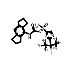 [2H]C([2H])([2H])C(O)(c1ncc(S(N)(=O)=NC(=O)Nc2c3c(cc4c2CCC4)CCC3)s1)C([2H])([2H])[2H]